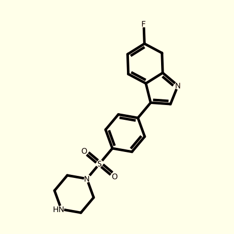 O=S(=O)(c1ccc(C2=CN=C3CC(F)=CC=C23)cc1)N1CCNCC1